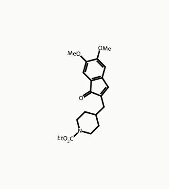 CCOC(=O)N1CCC(CC2=Cc3cc(OC)c(OC)cc3C2=O)CC1